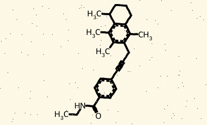 CCNC(=O)c1ccc(C#CCc2c(C)c(C)c3c(c2C)CCCC3C)cc1